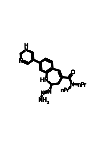 CCCN(CCC)C(=O)C1=Cc2ccc(C3=CNCN=C3)cc2NC(N=NN)C1